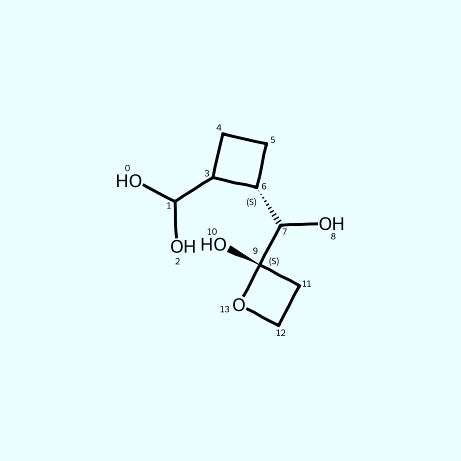 OC(O)C1CC[C@@H]1C(O)[C@]1(O)CCO1